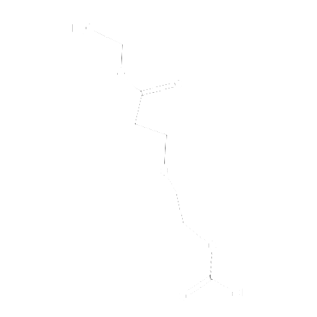 CCOC(=O)CCOCCOC(=O)O